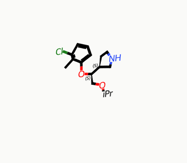 Cc1c(Cl)cccc1O[C@H](COC(C)C)[C@H]1CCNC1